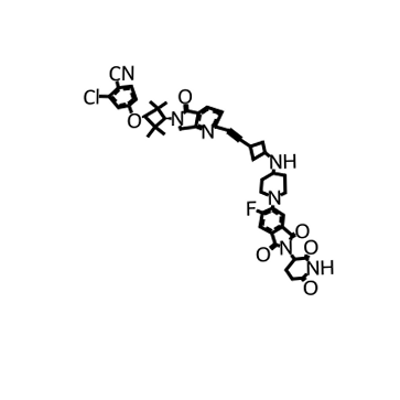 CC1(C)[C@H](Oc2ccc(C#N)c(Cl)c2)C(C)(C)[C@H]1N1Cc2nc(C#CC3CC(NC4CCN(c5cc6c(cc5F)C(=O)N(C5CCC(=O)NC5=O)C6=O)CC4)C3)ccc2C1=O